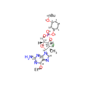 CCCCOc1cccc(OP2(=O)OC[C@H]3O[C@@H](n4cnc5c(OCC)nc(N)nc54)[C@](C)(F)[C@@H]3O2)c1